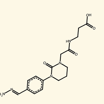 NN=Cc1ccc(N2CCCN(CC(=O)NCCC(=O)O)C2=O)cc1